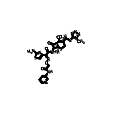 Cn1nnnc1SCC1=C(C(=O)O)N2C(=O)C(NC(=O)C(=NOCC(=O)Nc3cccnc3)c3csc(N)n3)[C@@H]2SC1